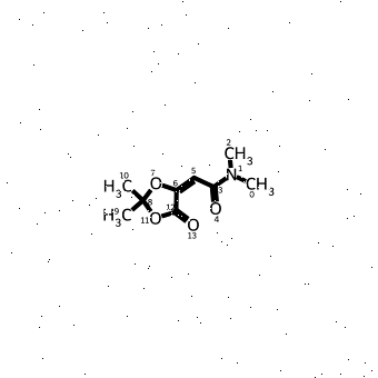 CN(C)C(=O)C=C1OC(C)(C)OC1=O